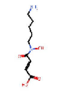 NCCCCCN(O)C(=O)/C=C/C(=O)O